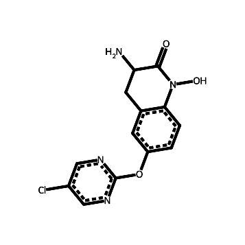 NC1Cc2cc(Oc3ncc(Cl)cn3)ccc2N(O)C1=O